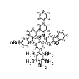 Bc1c(B)c(B)c(-c2cc3c4c(c2)-n2c5ccc(CCCC)cc5c5cccc(c52)B4N(c2ccc(-c4ccccc4)cc2)c2cc4c(cc2-3)oc2ccccc24)c(B)c1B